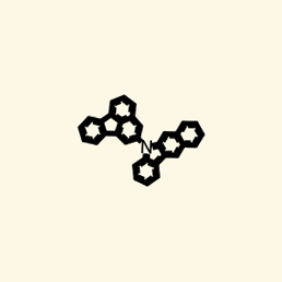 c1ccc2c(c1)-c1cccc3cc(-n4c5ccccc5c5cc6ccccc6cc54)cc-2c13